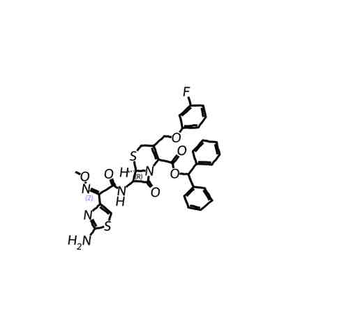 CO/N=C(\C(=O)NC1C(=O)N2C(C(=O)OC(c3ccccc3)c3ccccc3)=C(COc3cccc(F)c3)CS[C@H]12)c1csc(N)n1